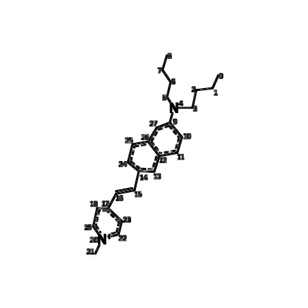 CCCCN(CCCC)c1ccc2cc(C=Cc3cc[n+](C)cc3)ccc2c1